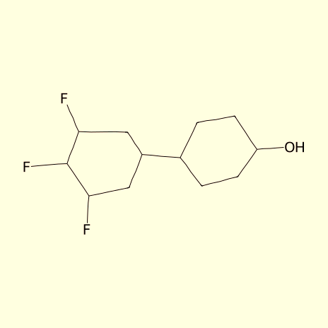 OC1CCC(C2CC(F)C(F)C(F)C2)CC1